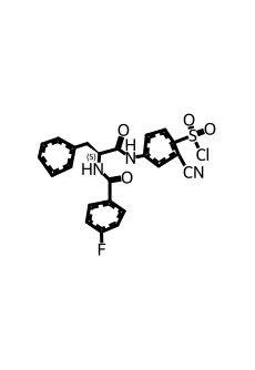 N#Cc1cc(NC(=O)[C@H](Cc2ccccc2)NC(=O)c2ccc(F)cc2)ccc1S(=O)(=O)Cl